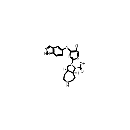 O=C(O)[C@H]1[C@@H]2CCNCC[C@H]2CN1c1ncc(Cl)c(Nc2ccc3[nH]ncc3c2)n1